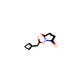 O=C(CC1CCC1)ON1C(=O)CCC1=O